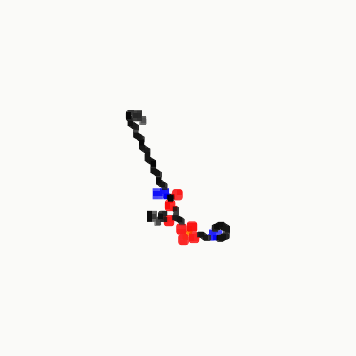 CCCCCCCCCCCCCNC(=O)OCC(COP(=O)([O-])OCC[n+]1ccccc1)OC